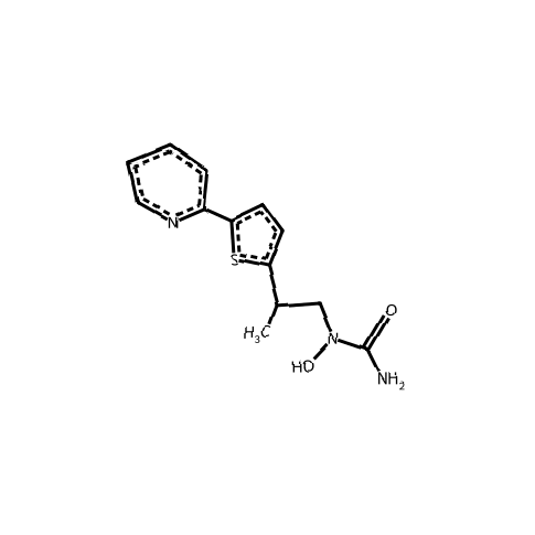 CC(CN(O)C(N)=O)c1ccc(-c2ccccn2)s1